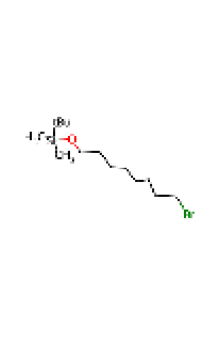 CC(C)(C)[Si](C)(C)OCCCCCCC[CH]Br